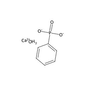 O.O=P([O-])([O-])c1ccccc1.[Ca+2]